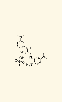 CN(C)c1ccc(N)c(NCCNc2cc(N(C)C)ccc2N)c1.O=S(=O)(O)O